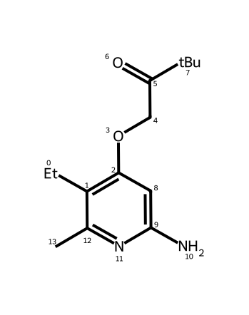 CCc1c(OCC(=O)C(C)(C)C)cc(N)nc1C